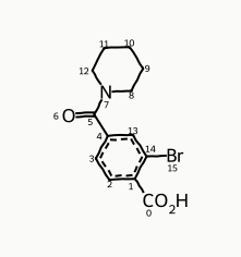 O=C(O)c1ccc(C(=O)N2CCCCC2)cc1Br